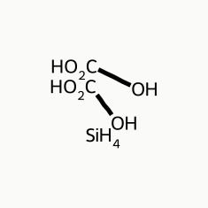 O=C(O)O.O=C(O)O.[SiH4]